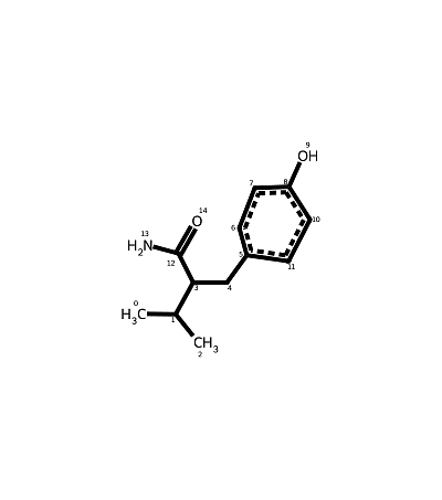 CC(C)C(Cc1ccc(O)cc1)C(N)=O